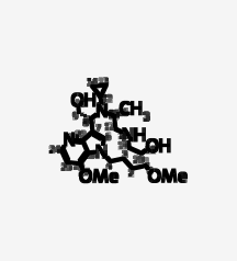 COCCCCn1cc([C@H](CO)N(C2CC2)[C@H](C)CNCCO)c2nccc(OC)c21